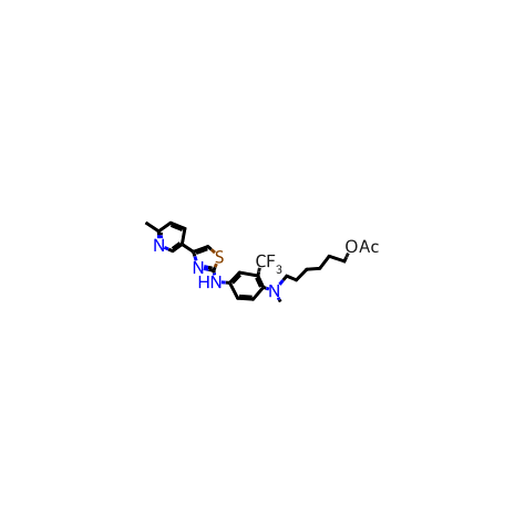 CC(=O)OCCCCCCN(C)c1ccc(Nc2nc(-c3ccc(C)nc3)cs2)cc1C(F)(F)F